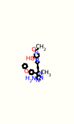 C=CC(=O)N1CC[C@H](N2CC(C#Cc3c(-c4ccc(Oc5ccccc5)cc4)c4c(N)ncnc4n3C)C2)[C@@H](O)C1